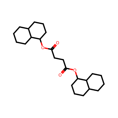 O=C(CCC(=O)OC1CCCC2CCCCC21)OC1CCCC2CCCCC21